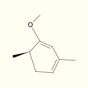 COC1=CC(C)=CC[C@H]1C